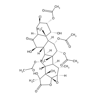 CC(=O)O[C@@H]1[C@H]2[C@H]3[C@H]([C@H](OC(C)=O)[C@H](OC(C)=O)[C@]2(C)[C@H]2[C@H](C)[C@H]4O[C@]45OC(=O)[C@@](C)(O)[C@]5(C)[C@H]12)[C@]1(C)[C@H](C[C@@H](Cl)[C@H](OC(C)=O)[C@@H]1O)C(=O)[C@@H]3O